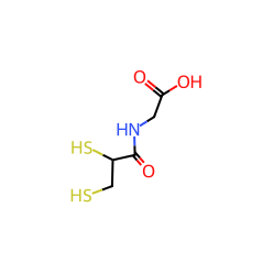 O=C(O)CNC(=O)C(S)CS